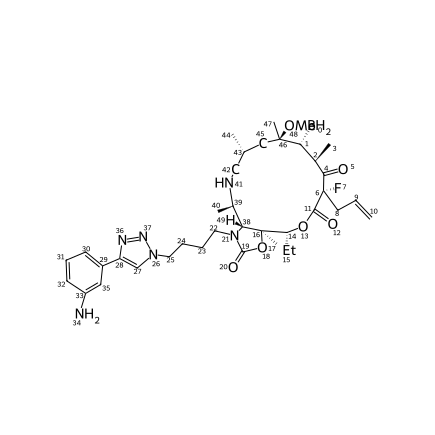 B[C@@H]1[C@@H](C)C(=O)[C@@](F)(CC=C)C(=O)O[C@H](CC)[C@@]2(C)OC(=O)N(CCCCn3cc(-c4cccc(N)c4)nn3)[C@@H]2[C@@H](C)NC[C@H](C)C[C@@]1(C)OC